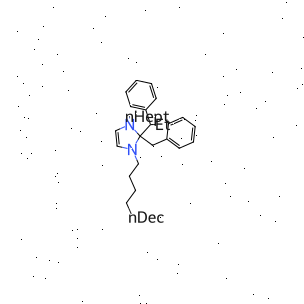 CCCCCCCCCCCCCCN1C=CN(CCCCCCC)C1(Cc1ccccc1)C(CC)c1ccccc1